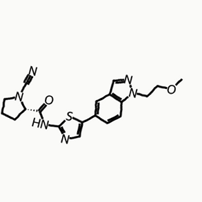 COCCn1ncc2cc(-c3cnc(NC(=O)[C@@H]4CCCN4C#N)s3)ccc21